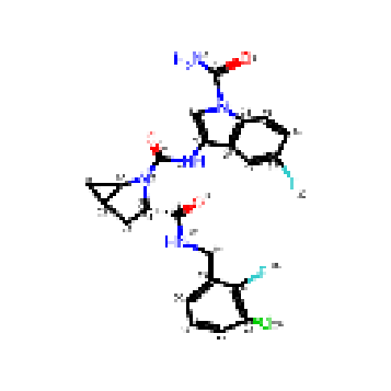 NC(=O)n1cc(NC(=O)N2C3CC3C[C@H]2C(=O)NCc2cccc(Cl)c2F)c2cc(F)ccc21